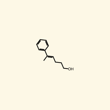 CC(=CCCCO)c1ccccc1